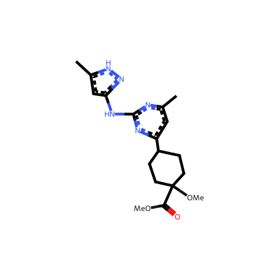 COC(=O)C1(OC)CCC(c2cc(C)nc(Nc3cc(C)[nH]n3)n2)CC1